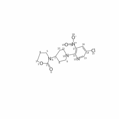 O=C1OCCCN1C1CCN(c2ncc(Cl)cc2[N+](=O)[O-])CC1